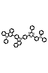 c1ccc(-c2nc(-c3ccc(-n4c5ccc(-c6cc7c(c8ccccc68)c6ccccc6n7-c6ccccc6)cc5c5c6ccccc6ccc54)cc3)nc(-c3cccc([SiH](c4ccccc4)c4ccccc4)c3)n2)cc1